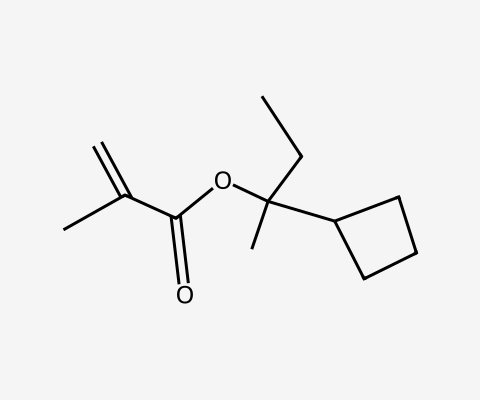 C=C(C)C(=O)OC(C)(CC)C1CCC1